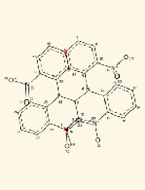 CCCC(P(c1ccccc1[N+](=O)[O-])c1ccccc1[N+](=O)[O-])P(c1ccccc1[N+](=O)[O-])c1ccccc1[N+](=O)[O-]